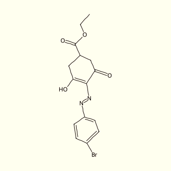 CCOC(=O)C1CC(=O)C(N=Nc2ccc(Br)cc2)=C(O)C1